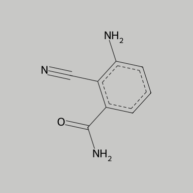 N#Cc1c(N)cccc1C(N)=O